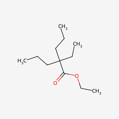 CCCC(CC)(CCC)C(=O)OCC